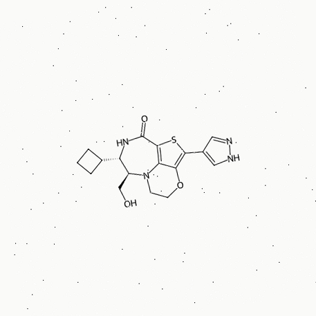 O=C1N[C@@H](C2CCC2)[C@H](CO)N2CCOc3c(-c4cn[nH]c4)sc1c32